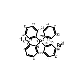 Cc1ccccc1[P+](c1ccccc1)(c1ccccc1)c1ccccc1.[Br-]